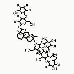 C=C1C[C@@]23CCC4[C@](C)(C(=O)OC5OC(CO)C(OC6OC(CO)C(O)C(O)C6O)C(O)C5O)CCC[C@@]4(C)[C@@H]2CC[C@]1(OC1OC(CO)C(O)C(OC2OC(CO)C(OC4OC(CO)C(O)C(O)C4O)C(O)C2O)C1OC1OC(CO)C(O)C(O)C1O)C3